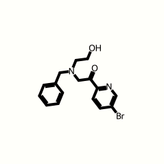 O=C(CN(CCO)Cc1ccccc1)c1ccc(Br)cn1